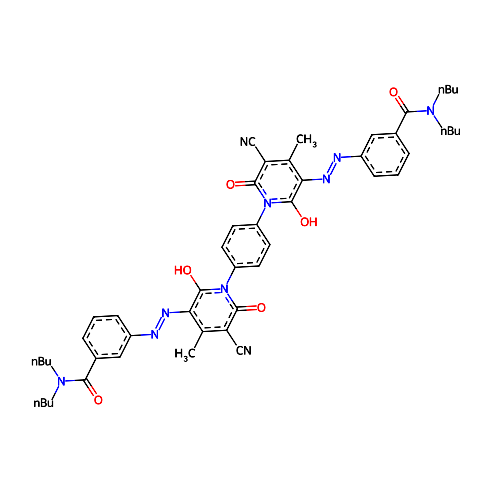 CCCCN(CCCC)C(=O)c1cccc(/N=N/c2c(C)c(C#N)c(=O)n(-c3ccc(-n4c(O)c(/N=N/c5cccc(C(=O)N(CCCC)CCCC)c5)c(C)c(C#N)c4=O)cc3)c2O)c1